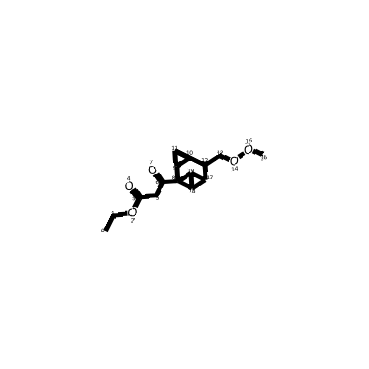 CCOC(=O)CC(=O)C12C3C4C3C4(COOC)C3C1C32